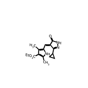 CCOC(=O)c1c(C)[nH]c(C=C2C(=O)NN=C2C2CC2)c1C